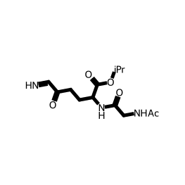 CC(=O)NCC(=O)NC(CCC(=O)C=N)C(=O)OC(C)C